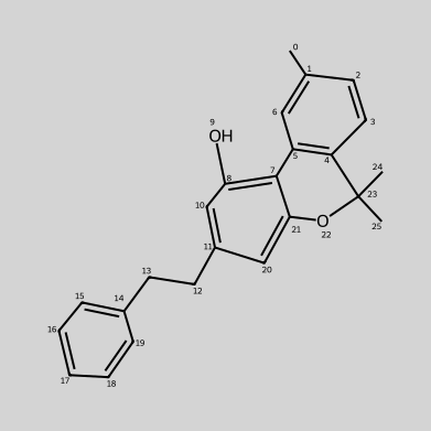 Cc1ccc2c(c1)-c1c(O)cc(CCc3ccccc3)cc1OC2(C)C